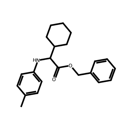 Cc1ccc(NC(C(=O)OCc2ccccc2)C2CCCCC2)cc1